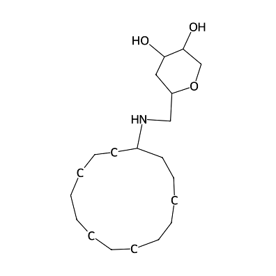 OC1COC(CNC2CCCCCCCCCCCCC2)CC1O